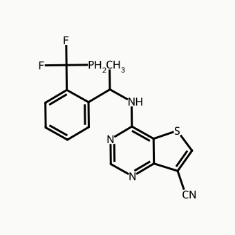 CC(Nc1ncnc2c(C#N)csc12)c1ccccc1C(F)(F)P